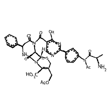 CC(=O)OCC1=C(C(=O)O)N2C(=O)C(N(C(=O)c3cnc(-c4ccc(N(C(C)=O)C(=O)C(C)N)cc4)nc3O)C(=O)C(N)c3ccccc3)[C@@H]2SC1